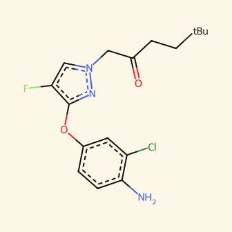 CC(C)(C)CCC(=O)Cn1cc(F)c(Oc2ccc(N)c(Cl)c2)n1